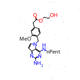 CCCCCNc1nc(N)nc2ccn(Cc3ccc(CC(=O)OCCO)cc3OC)c12